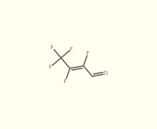 O=[C]/C(F)=C(\F)C(F)(F)F